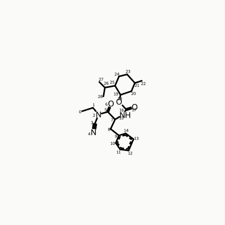 CCN(C#N)C(=O)C(Cc1ccccc1)NC(=O)OC1CC(C)CCC1C(C)C